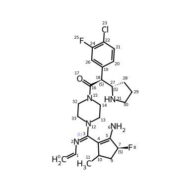 C=C/N=C(\C1=C(N)[C@@H](F)CC1C)N1CCN(C(=O)[C@@H](c2ccc(Cl)c(F)c2)[C@@H]2CCCN2)CC1